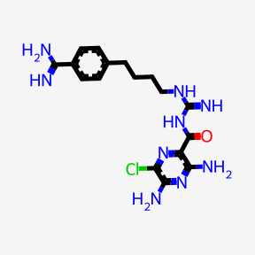 N=C(NCCCCc1ccc(C(=N)N)cc1)NC(=O)c1nc(Cl)c(N)nc1N